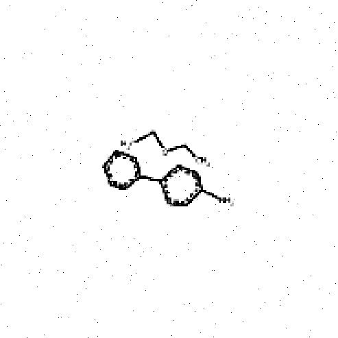 CCOCC.Nc1ccc(-c2ccccc2)cc1